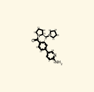 Nc1ccc(-c2ccc(C(=O)N3CCC[C@H]3CN3CCCC3)cc2)cn1